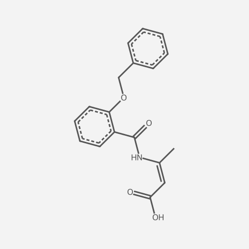 C/C(=C/C(=O)O)NC(=O)c1ccccc1OCc1ccccc1